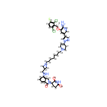 C[C@H](Oc1cc(-c2cnn(C3CCN(CCCCCCCCN4CC(CNc5cccc6c5CN(C5CCC(=O)NC5=O)C6=O)C4)CC3)c2)cnc1N)c1c(Cl)ccc(F)c1Cl